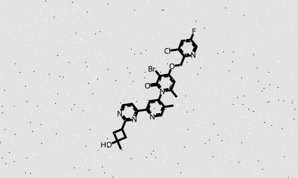 Cc1cnc(-c2ccnc(C3CC(C)(O)C3)n2)cc1-n1c(C)cc(OCc2ncc(F)cc2Cl)c(Br)c1=O